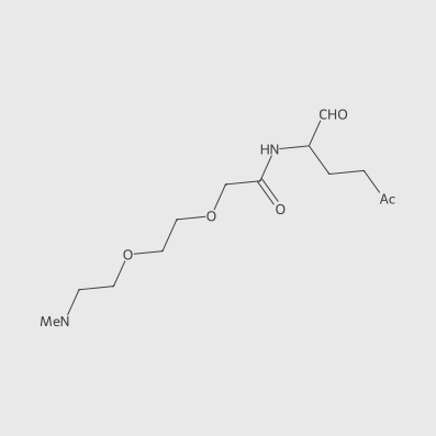 CNCCOCCOCC(=O)NC(C=O)CCC(C)=O